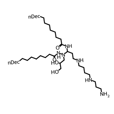 CCCCCCCCCCCCCCCCCC(=O)NC(CCNCCCCNCCCN)N(CC(O)CO)NC(=O)CCCCCCCCCCCCCCCCC